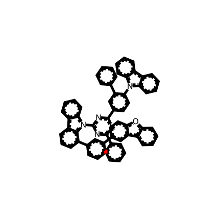 c1ccc(-c2nc(-c3ccc(-n4c5ccccc5c5ccccc54)c(-c4ccccc4)c3)nc(-n3c4ccccc4c4cccc(-c5cccc(-c6ccc7oc8ccccc8c7c6)c5)c43)n2)cc1